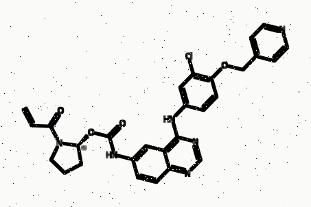 C=CC(=O)N1CCC[C@@H]1OC(=O)Nc1ccc2ncnc(Nc3ccc(OCc4ccncc4)c(Cl)c3)c2c1